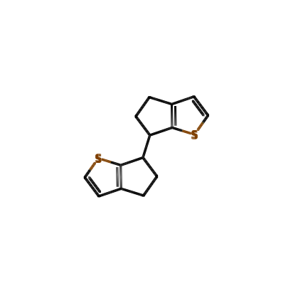 c1cc2c(s1)C(C1CCc3ccsc31)CC2